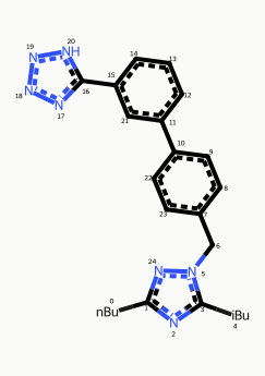 CCCCc1nc(C(C)CC)n(Cc2ccc(-c3cccc(-c4nnn[nH]4)c3)cc2)n1